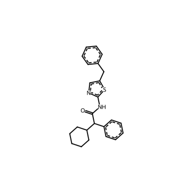 O=C(Nc1ncc(Cc2ccccc2)s1)C(c1ccccc1)C1CCCCC1